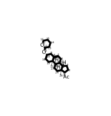 CC(=O)[C@H]1CC[C@H]2[C@@H]3CC=C4C[C@@H](OC5CCCCO5)CC[C@]4(C)[C@H]3CC[C@]12C